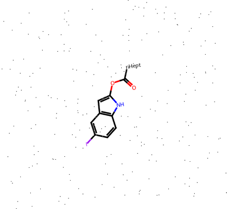 CCCCCCCC(=O)Oc1cc2cc(I)ccc2[nH]1